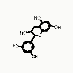 Oc1cc(O)cc(C2Oc3cc(O)cc(O)c3CC2O)c1